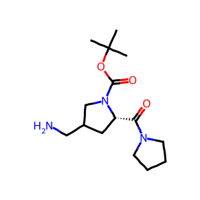 CC(C)(C)OC(=O)N1CC(CN)C[C@H]1C(=O)N1CCCC1